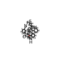 N#Cc1ccnc(N2C(=O)CC[C@H]2C(=O)N(c2cccc3[nH]ncc23)C(C(=O)NC2CC(F)(F)C2)C2C=CC=CC2Cl)c1